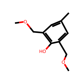 COCc1cc(C)cc(COC)c1O